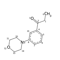 CCC(=O)c1cccc(N2CCOCC2)c1